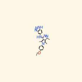 CCOc1ccc(-n2c(C)c3c(C)nnc(Nc4ccc5[nH]nnc5c4)c3c2C)cc1